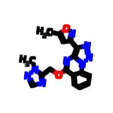 Cc1cc(-c2nnn3c2nc(OCc2ncnn2C)c2ccccc23)no1